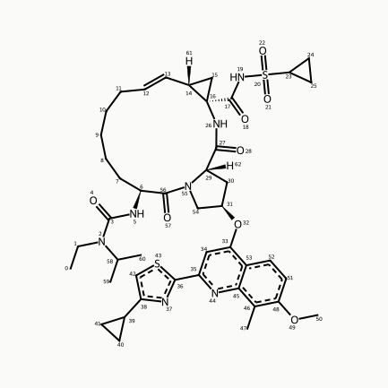 CCN(C(=O)N[C@H]1CCCCC/C=C/[C@@H]2C[C@@]2(C(=O)NS(=O)(=O)C2CC2)NC(=O)[C@@H]2C[C@@H](Oc3cc(-c4nc(C5CC5)cs4)nc4c(C)c(OC)ccc34)CN2C1=O)C(C)C